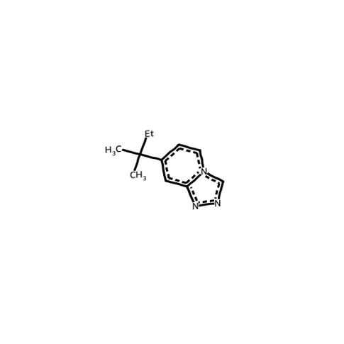 CCC(C)(C)c1ccn2cnnc2c1